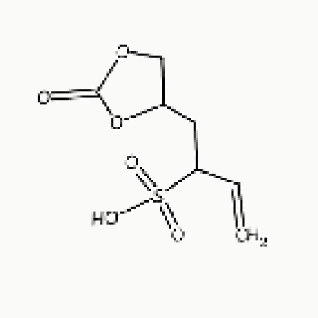 C=CC(CC1COC(=O)O1)S(=O)(=O)O